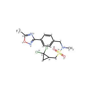 CN(Cc1ccc(-c2noc(C(F)(F)F)n2)cc1)S(=O)(=O)CC1CC1(Cl)Cl